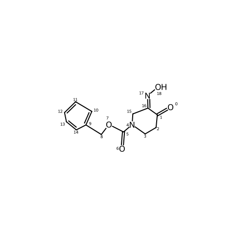 O=C1CCN(C(=O)OCc2ccccc2)CC1=NO